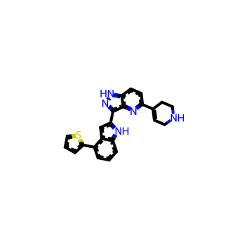 C1=C(c2ccc3[nH]nc(-c4cc5c(-c6cccs6)cccc5[nH]4)c3n2)CCNC1